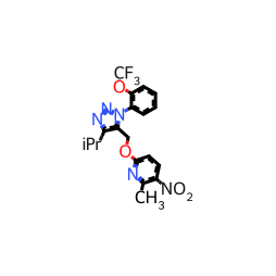 Cc1nc(OCc2c(C(C)C)nnn2-c2ccccc2OC(F)(F)F)ccc1[N+](=O)[O-]